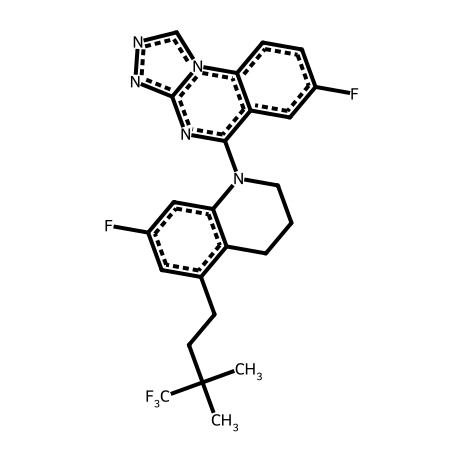 CC(C)(CCc1cc(F)cc2c1CCCN2c1nc2nncn2c2ccc(F)cc12)C(F)(F)F